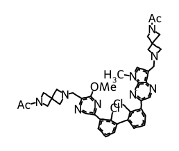 COc1nc(-c2cccc(-c3cccc(-c4cnc5c(CN6CC7(C6)CN(C(C)=O)C7)cn(C)c5n4)c3Cl)c2Cl)cnc1CN1CC2(C1)CN(C(C)=O)C2